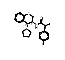 CC(C(=O)N[C@@H]1COc2ccccc2[C@H]1N1CCCC1)c1ccc(F)cc1